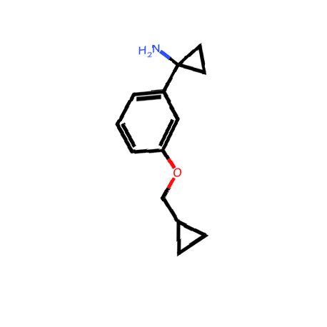 NC1(c2cccc(OCC3CC3)c2)CC1